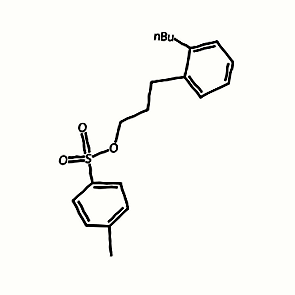 CCCCc1ccccc1CCCOS(=O)(=O)c1ccc(C)cc1